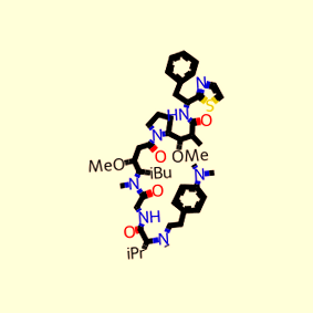 CCC(C)C(C(CC(=O)N1CCCC1C(OC)C(C)C(=O)NC(Cc1ccccc1)c1nccs1)OC)N(C)C(=O)CNC(=O)C(C(C)C)N(C)CCc1ccc(N(C)C)cc1